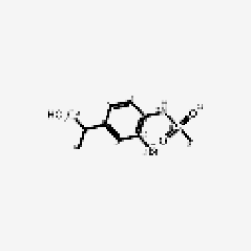 CC(C(=O)O)c1ccc(NS(C)(=O)=O)c(Br)c1